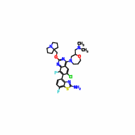 CN(C)CC1CN(c2nc(OCC34CCCN3CCC4)nc3c(F)c(-c4ccc(F)c5sc(N)nc45)c(Cl)cc23)CCCO1